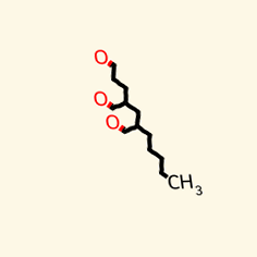 CCCCCC(C=O)CC(C=O)CCC=O